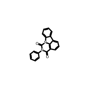 O=c1c2cccc3c4ccccc4n(c(=O)n1-c1ccccc1)c23